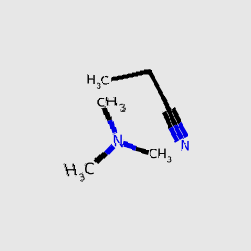 CCC#N.CN(C)C